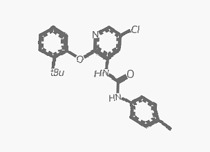 Cc1ccc(NC(=O)Nc2cc(Cl)cnc2Oc2ccccc2C(C)(C)C)cc1